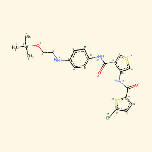 CC(C)(C)[Si](C)(C)OCCNc1ccc(NC(=O)c2cscc2NC(=O)c2ccc(Cl)s2)cc1